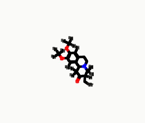 [2H]c1c2c(c([2H])c(OC([2H])([2H])[2H])c1OC([2H])([2H])[2H])C1N(CC2)C([2H])([2H])C([2H])(CC(C)C)C(=O)C1([2H])[2H]